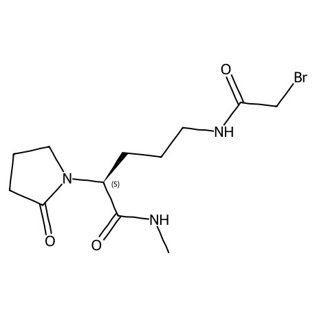 CNC(=O)[C@H](CCCNC(=O)CBr)N1CCCC1=O